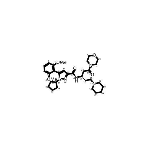 COc1cccc(OC)c1-c1cc(C(=O)N[C@@H](CCN2CCCCC2)CC(=O)N2CCOCC2)nn1C1CCCC1